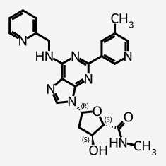 CNC(=O)[C@H]1O[C@@H](n2cnc3c(NCc4ccccn4)nc(-c4cncc(C)c4)nc32)C[C@@H]1O